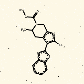 CC(C)(C)OC(=O)N1Cc2sc(N)c(-c3nc4ccccc4s3)c2CC1C(F)(F)F